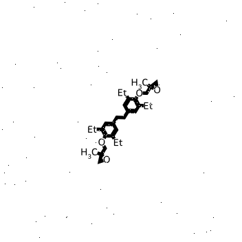 CCc1cc(CCc2cc(CC)c(OCC3(C)CO3)c(CC)c2)cc(CC)c1OCC1(C)CO1